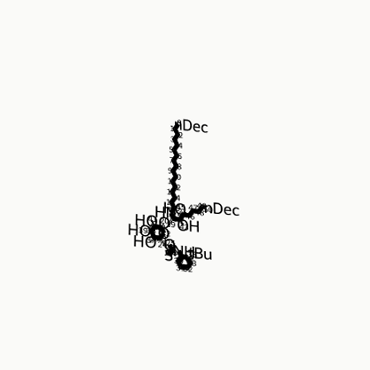 CCCCCCCCCCCCCCCCCCCCCCCCCCN[C@@H](CO[C@@H]1O[C@H](COC(=S)Nc2ccccc2C(C)(C)C)[C@H](O)[C@H](O)[C@H]1O)[C@H](O)[C@H](O)CCCCCCCCCCCCCC